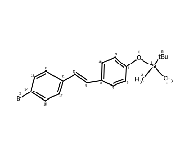 CC(C)(C)[Si](C)(C)Oc1ccc(/C=C/c2ccc(Br)cc2)cc1